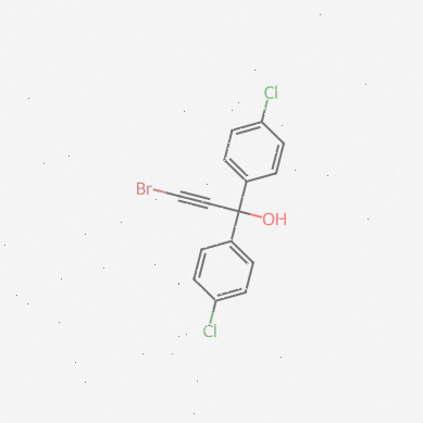 OC(C#CBr)(c1ccc(Cl)cc1)c1ccc(Cl)cc1